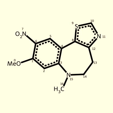 COc1cc2c(cc1[N+](=O)[O-])-c1scnc1CCN2C